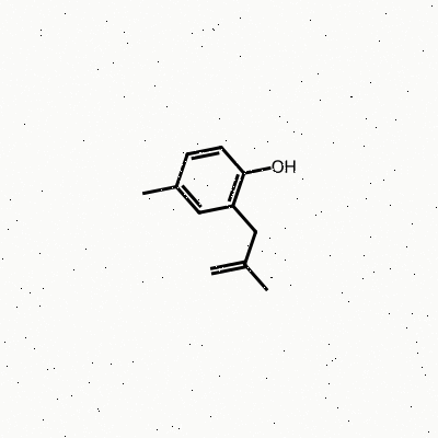 C=C(C)Cc1cc(C)ccc1O